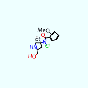 CC[C@@]1(N(Cl)C(=O)c2ccccc2OC)CN[C@H](CO)C1